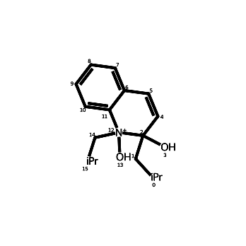 CC(C)CC1(O)C=Cc2ccccc2[N+]1(O)CC(C)C